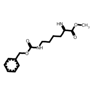 COC(=O)C(=N)CCCCNC(=O)OCc1ccccc1